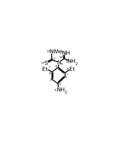 CCc1cc(N)cc(CC)c1N(C(=N)N)C(=S)NC